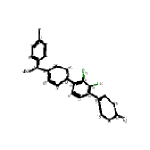 CCCC(c1ccc(C)cc1)C1CCC(c2ccc(C3CCC(CC)CC3)c(F)c2F)CC1